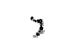 CC(C)(C)c1cc(NC(=O)Nc2ccc(-c3cn4c5c(sc4n3)CCc3cn(CCCN4CCCC4)cc3-5)cc2)no1